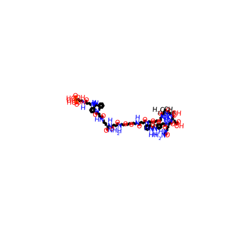 Cc1ccccc1NC(=O)Nc1ccc(CC(=O)N[C@@H](CCCNC(N)=O)C(=O)N[C@@H](CCC(=O)O)C(=O)N[C@@H](CO)C(=O)N[C@H](C(=O)NCCOCCOCCNC(=O)CCC(=O)NCCOCCOCCNC(=O)CCC(=O)N[C@@H](CCCCNC(=O)CCC(=O)N2Cc3ccccc3-c3nnn(CCCC(=O)NCCCC(O)(P(=O)(O)O)P(=O)(O)O)c3-c3ccccc32)C(N)=O)C(C)C)cc1